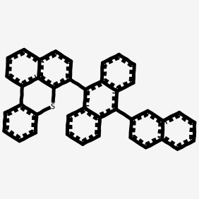 c1ccc2c(c1)Sc1c(-c3c4ccccc4c(-c4ccc5ccccc5c4)c4ccccc34)ccc3cccc-2c13